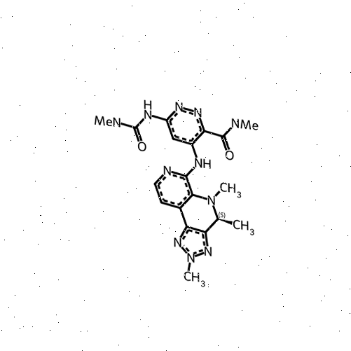 CNC(=O)Nc1cc(Nc2nccc3c2N(C)[C@@H](C)c2nn(C)nc2-3)c(C(=O)NC)nn1